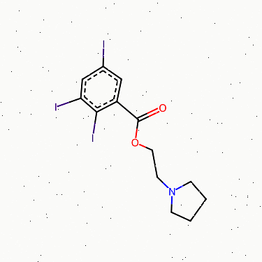 O=C(OCCN1CCCC1)c1cc(I)cc(I)c1I